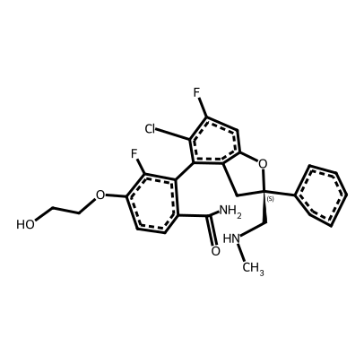 CNC[C@@]1(c2ccccc2)Cc2c(cc(F)c(Cl)c2-c2c(C(N)=O)ccc(OCCO)c2F)O1